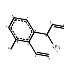 C=Cc1c(C)cccc1C(O)C=C